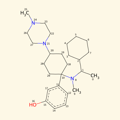 CC(C1CCCCC1)N(C)C1(c2cccc(O)c2)CCC(N2CCN(C)CC2)CC1